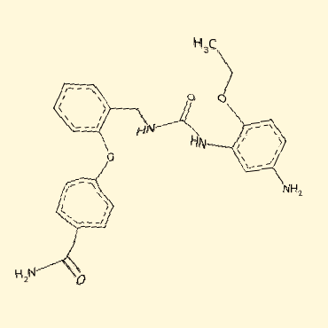 CCOc1ccc(N)cc1NC(=O)NCc1ccccc1Oc1ccc(C(N)=O)cc1